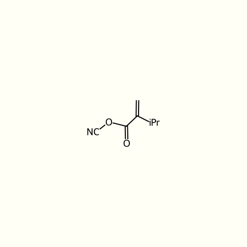 C=C(C(=O)OC#N)C(C)C